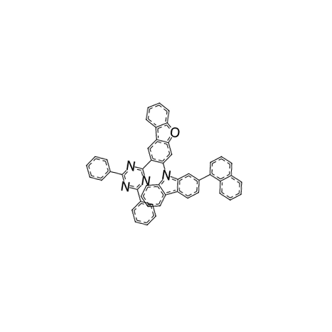 c1ccc(-c2nc(-c3ccccc3)nc(-c3cc4c(cc3-n3c5ccccc5c5ccc(-c6cccc7ccccc67)cc53)oc3ccccc34)n2)cc1